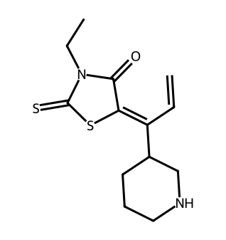 C=CC(=C1SC(=S)N(CC)C1=O)C1CCCNC1